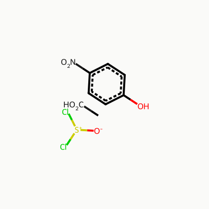 CC(=O)O.O=[N+]([O-])c1ccc(O)cc1.[O-][S+](Cl)Cl